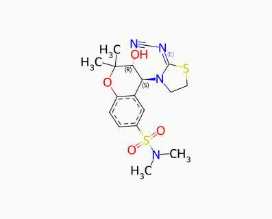 CN(C)S(=O)(=O)c1ccc2c(c1)[C@H](N1CCS/C1=N/C#N)[C@@H](O)C(C)(C)O2